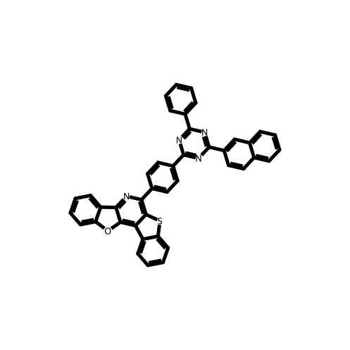 c1ccc(-c2nc(-c3ccc(-c4nc5c6ccccc6oc5c5c4sc4ccccc45)cc3)nc(-c3ccc4ccccc4c3)n2)cc1